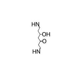 N=CCC(=O)CC(O)CC=N